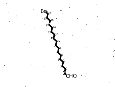 O=[C]OCCCCCCCCCCCCCCCCCBr